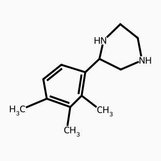 Cc1ccc(C2CNCCN2)c(C)c1C